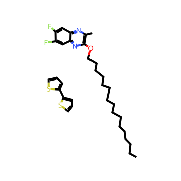 CCCCCCCCCCCCCCCCOc1nc2cc(F)c(F)cc2nc1C.c1csc(-c2cccs2)c1